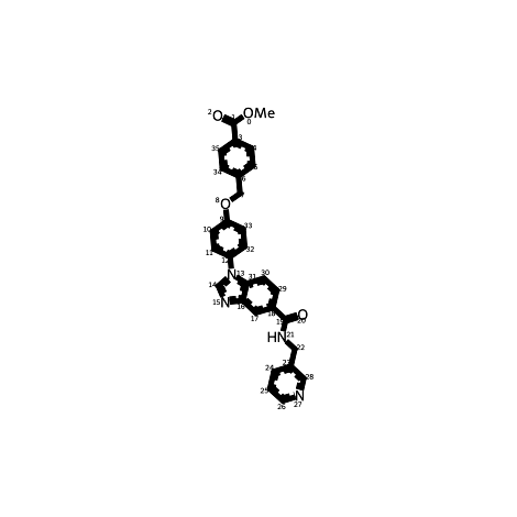 COC(=O)c1ccc(COc2ccc(-n3cnc4cc(C(=O)NCc5cccnc5)ccc43)cc2)cc1